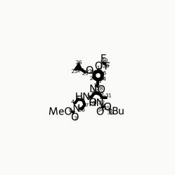 COC(=O)N1CCC(NC(=O)c2nc(-c3ccc(OC(F)F)c(OCC4CC4)c3)oc2C(C)NC(=O)OC(C)(C)C)CC1